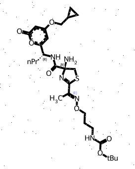 CCC[C@@H](NC(=O)[C@]1(N)CSC(/C(C)=N/OCCCNC(=O)OC(C)(C)C)=N1)c1cc(OCC2CC2)cc(=O)o1